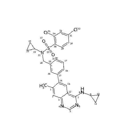 Cc1cc2ncnc(NC3CC3)c2cc1-c1cccc(CN(C2CC2)S(=O)(=O)c2ccc(Cl)cc2Cl)c1